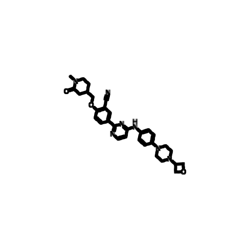 CN1CCC(COc2ccc(-c3nccc(Nc4ccc(N5CCN(C6COC6)CC5)cc4)n3)cc2C#N)CC1=O